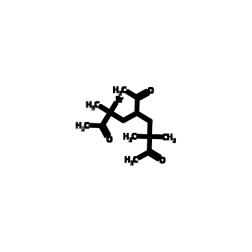 CC(=O)C(CC(C)(C)C(C)=O)CC(C)(Br)C(C)=O